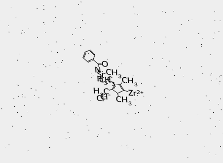 CC1=C(C)C(C)[C]([Zr+2])=C1C.C[Si](C)=NC(=O)c1ccccc1.[Cl-].[Cl-]